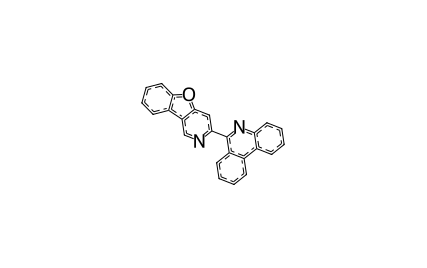 c1ccc2c(c1)nc(-c1cc3oc4ccccc4c3cn1)c1ccccc12